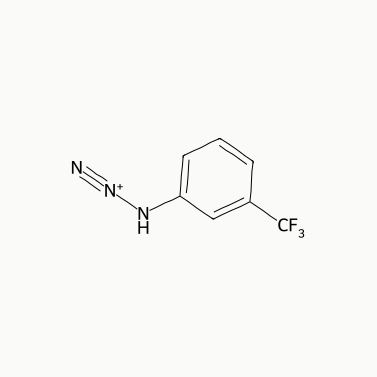 N#[N+]Nc1cccc(C(F)(F)F)c1